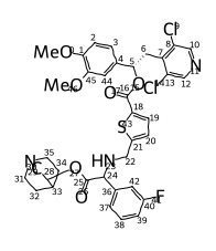 COc1ccc([C@H](Cc2c(Cl)cncc2Cl)OC(=O)c2ccc(CNC(C(=O)OC3CN4CCC3CC4)c3cccc(F)c3)s2)cc1OC